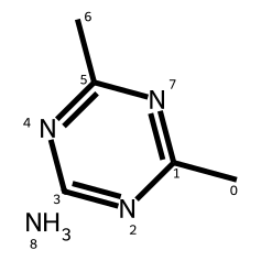 Cc1ncnc(C)n1.N